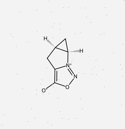 [O-]c1on[n+]2c1C[C@H]1C[C@H]12